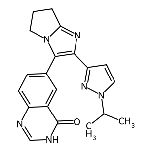 CC(C)n1ccc(-c2nc3n(c2-c2ccc4nc[nH]c(=O)c4c2)CCC3)n1